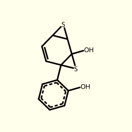 Oc1ccccc1C12C=CC3SC3C1(O)S2